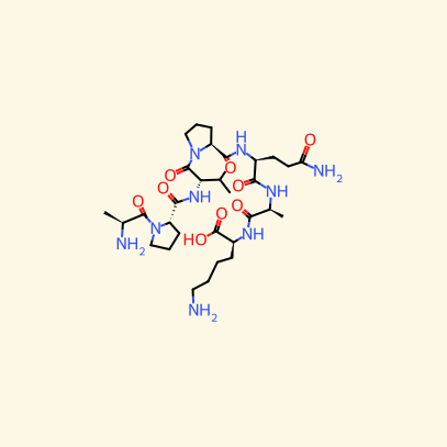 CC(C)[C@H](NC(=O)[C@@H]1CCCN1C(=O)[C@H](C)N)C(=O)N1CCC[C@H]1C(=O)N[C@@H](CCC(N)=O)C(=O)N[C@@H](C)C(=O)N[C@@H](CCCCN)C(=O)O